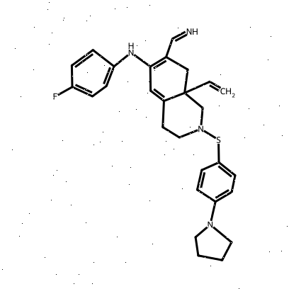 C=CC12CC(C=N)=C(Nc3ccc(F)cc3)C=C1CCN(Sc1ccc(N3CCCC3)cc1)C2